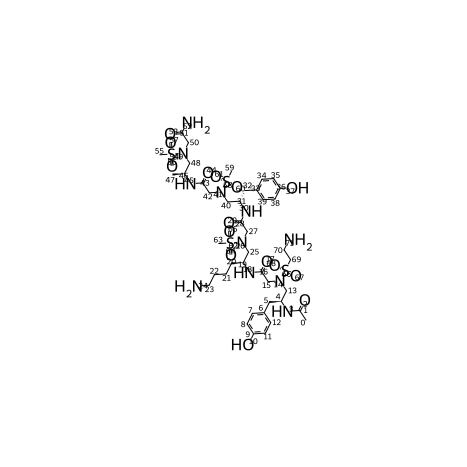 CC(=O)N[C@@H](Cc1ccc(O)cc1)CN(CC(=O)N[C@@H](CCCCN)CN(CC(=O)N[C@@H](Cc1ccc(O)cc1)CN(CC(=O)N[C@@H](C)CN(CC(N)=O)S(C)(=O)=O)S(C)(=O)=O)S(C)(=O)=O)S(=O)(=O)CCN